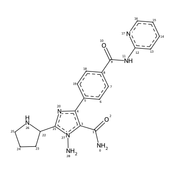 NC(=O)c1c(-c2ccc(C(=O)Nc3ccccn3)cc2)nc(C2CCCN2)n1N